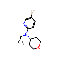 CCN(c1ccc(Br)cn1)C1CCOCC1